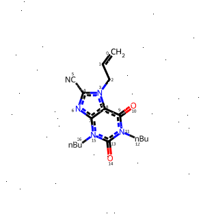 C=CCn1c(C#N)nc2c1c(=O)n(CCCC)c(=O)n2CCCC